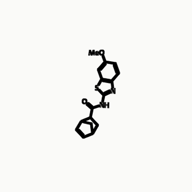 COc1ccc2nc(NC(=O)C3CC4C=CC3C4)sc2c1